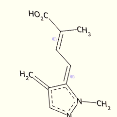 C=c1cnn(C)/c1=C/C=C(\C)C(=O)O